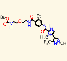 CCc1cc(NC(=O)c2ncc(-c3cn(C)nc3C(F)(F)F)n2C)ccc1C(=O)NCCOCCNC(=O)OC(C)(C)C